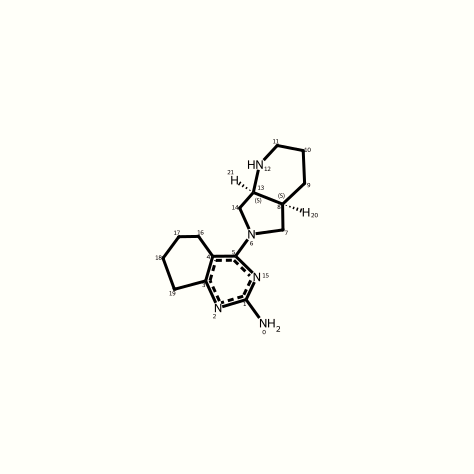 Nc1nc2c(c(N3C[C@@H]4CCCN[C@@H]4C3)n1)CCCC2